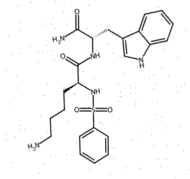 NCCCC[C@H](NS(=O)(=O)c1ccccc1)C(=O)N[C@@H](Cc1c[nH]c2ccccc12)C(N)=O